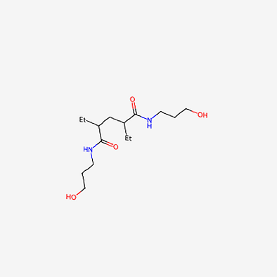 CCC(CC(CC)C(=O)NCCCO)C(=O)NCCCO